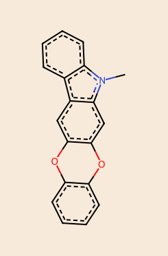 Cn1c2ccccc2c2cc3c(cc21)Oc1ccccc1O3